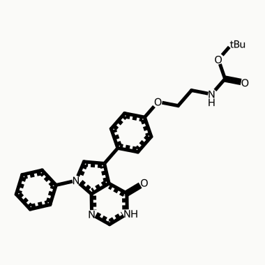 CC(C)(C)OC(=O)NCCOc1ccc(-c2cn(-c3ccccc3)c3nc[nH]c(=O)c23)cc1